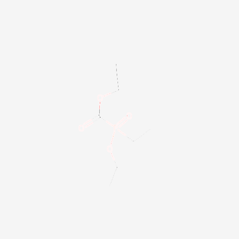 CCOC(=O)P(=O)(CC)OCC